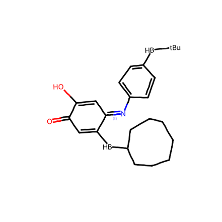 CC(C)(C)Bc1ccc(/N=C2\C=C(O)C(=O)C=C2BC2CCCCCCC2)cc1